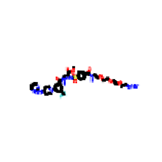 COC(=O)[C@H](CNC(=O)c1cc(N2CCC(Nc3ncccn3)CC2)cc(C(F)(F)F)c1)NS(=O)(=O)c1ccc(C(=O)NCCOCCOCCOCCN=[N+]=[N-])cc1